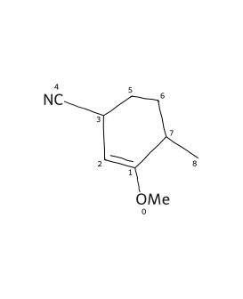 COC1=CC(C#N)CCC1C